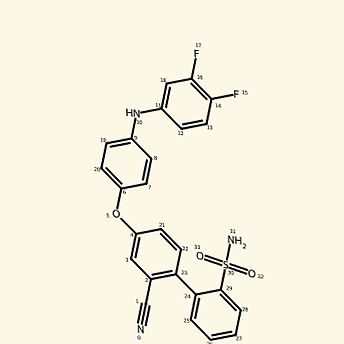 N#Cc1cc(Oc2ccc(Nc3ccc(F)c(F)c3)cc2)ccc1-c1ccccc1S(N)(=O)=O